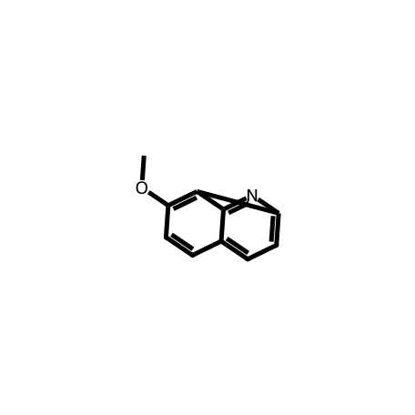 COc1ccc2ccc3nc2c13